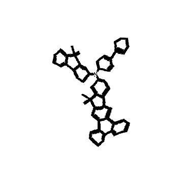 CC1(C)c2ccccc2-c2ccc(N(c3ccc(-c4ccccc4)cc3)c3ccc4c(c3)C(C)(C)c3cc5c6ccccc6c6ccccc6c5cc3-4)cc21